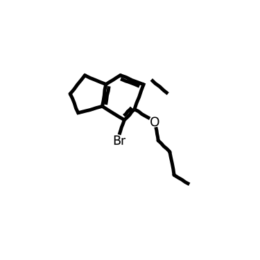 CC.CCCCOc1ccc2c(c1Br)CCC2